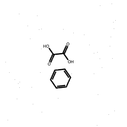 O=C(O)C(=O)O.c1ccccc1